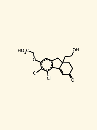 O=C(O)COc1cc2c(c(Cl)c1Cl)C1=CC(=O)CCC1(CCO)C2